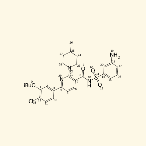 CC(C)COc1cc(-c2ccc(C(=O)NS(=O)(=O)c3cccc(N)c3)c(N3CCC(C)CC3)n2)ccc1Cl